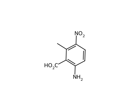 Cc1c([N+](=O)[O-])ccc(N)c1C(=O)O